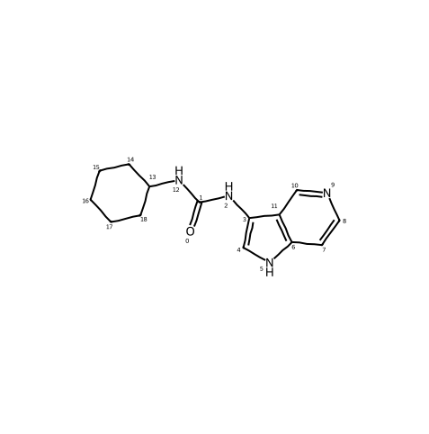 O=C(Nc1c[nH]c2ccncc12)NC1CCCCC1